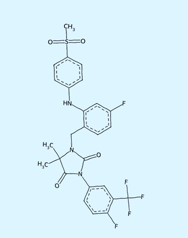 CC1(C)C(=O)N(c2ccc(F)c(C(F)(F)F)c2)C(=O)N1Cc1ccc(F)cc1Nc1ccc(S(C)(=O)=O)cc1